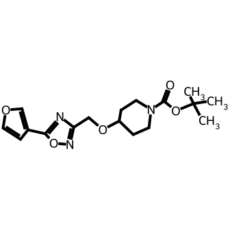 CC(C)(C)OC(=O)N1CCC(OCc2noc(-c3ccoc3)n2)CC1